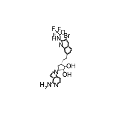 Nc1nccc2c1ccn2[C@@H]1C[C@H](CCc2ccc3cc(Br)c(NC(=O)C(F)(F)F)nc3c2)[C@@H](O)C1O